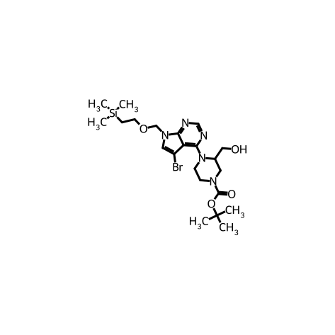 CC(C)(C)OC(=O)N1CCN(c2ncnc3c2c(Br)cn3COCC[Si](C)(C)C)C(CO)C1